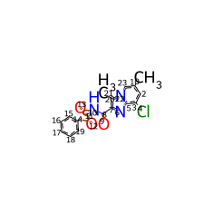 Cc1cc(Cl)c2nc(C(=O)NS(=O)(=O)c3ccccc3)c(C)n2c1